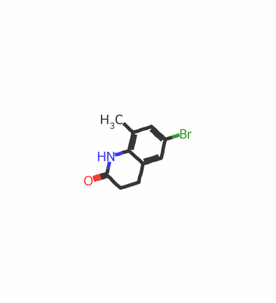 Cc1cc(Br)cc2c1NC(=O)CC2